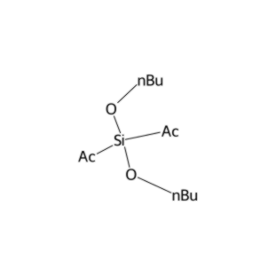 CCCCO[Si](OCCCC)(C(C)=O)C(C)=O